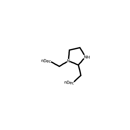 CCCCCCCCCCCC1NCCN1CCCCCCCCCCC